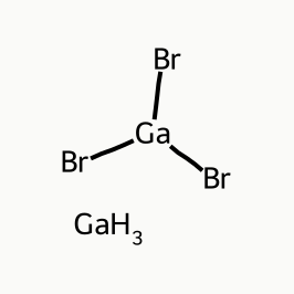 [Br][Ga]([Br])[Br].[GaH3]